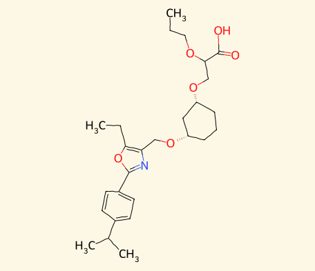 CCCOC(CO[C@@H]1CCC[C@H](OCc2nc(-c3ccc(C(C)C)cc3)oc2CC)C1)C(=O)O